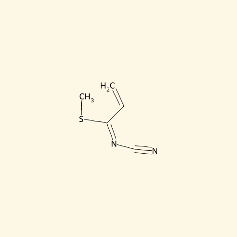 C=C/C(=N\C#N)SC